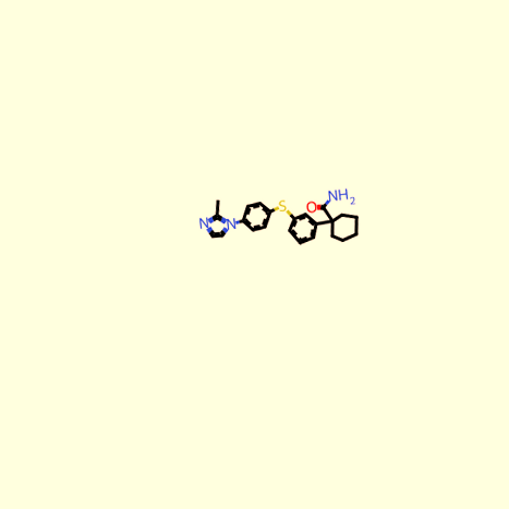 Cc1nccn1-c1ccc(Sc2cccc(C3(C(N)=O)CCCCC3)c2)cc1